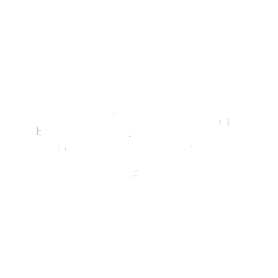 CCOc1ccc(C2=COC(C)CC2)c(F)c1